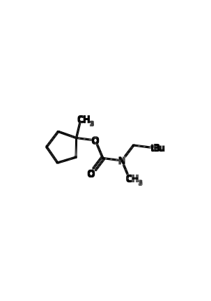 CN(CC(C)(C)C)C(=O)OC1(C)CCCC1